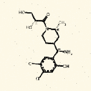 C[C@@H]1CC([C@@H](N)c2cc(Cl)c(Cl)cc2O)CCN1C(=O)[C@H](O)CO